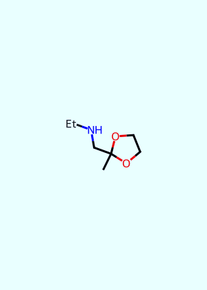 CCNCC1(C)OCCO1